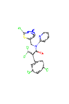 O=C(C(=C(Cl)Cl)c1cc(Cl)cc(Cl)c1)N(Cc1cnc(Cl)s1)c1ccccn1